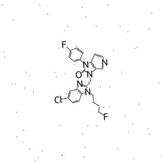 O=c1n(Cc2nc3cc(Cl)ccc3n2CCCCF)c2cnccc2n1-c1ccc(F)cc1